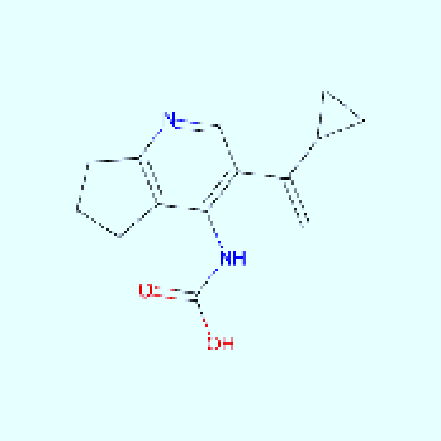 C=C(c1cnc2c(c1NC(=O)O)CCC2)C1CC1